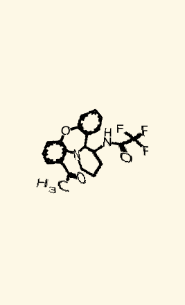 CC(=O)c1cccc2c1N1CCCC(NC(=O)C(F)(F)F)C1c1ccccc1O2